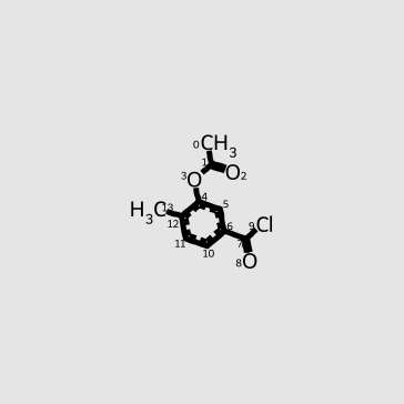 CC(=O)Oc1cc(C(=O)Cl)ccc1C